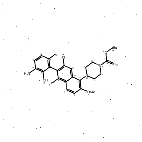 COc1cnc2c(F)c(-c3c(C)ccc(N)c3O)c(Cl)cc2c1N1CCN(C(=O)OC(C)(C)C)CC1